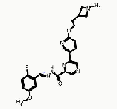 COc1ccc(F)c(/C=N/NC(=O)c2cncc(-c3ccc(OCCC4CN(C)C4)nc3)n2)c1